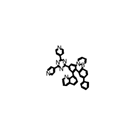 C1=CB2c3ccc(-c4ccccc4)cc3-c3c(-c4cccc5cccnc45)cc(-c4nc(-c5ccncc5)nc(-c5ccncc5)n4)cc3N2C=C1